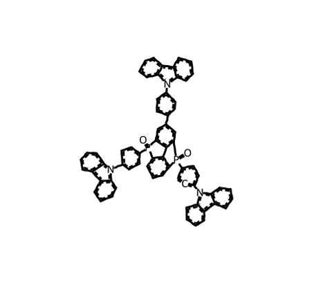 O=P1(c2ccc(-n3c4ccccc4c4ccccc43)cc2)c2cccc3c2-c2c1cc(-c1ccc(-n4c5ccccc5c5ccccc54)cc1)cc2P3(=O)c1ccc(-n2c3ccccc3c3ccccc32)cc1